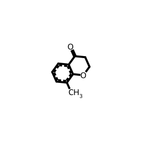 Cc1cccc2c1OCCC2=O